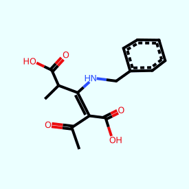 CC(=O)C(C(=O)O)=C(NCc1ccccc1)C(C)C(=O)O